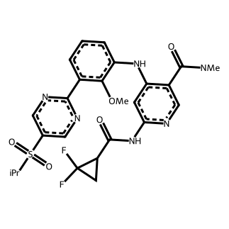 CNC(=O)c1cnc(NC(=O)C2CC2(F)F)cc1Nc1cccc(-c2ncc(S(=O)(=O)C(C)C)cn2)c1OC